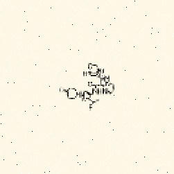 O=C1CCC(n2cc(NC(=O)c3c(N4C[C@H]5C[C@@H]4CO5)nn4cccnc34)c(C(F)F)n2)CC1